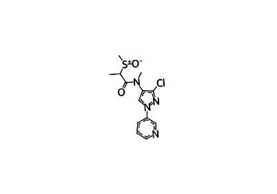 CC(C(=O)N(C)c1cn(-c2cccnc2)nc1Cl)[S+](C)[O-]